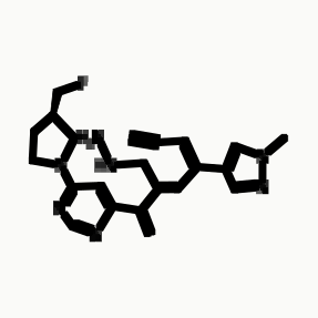 C#C/C=C(\C=C(/CNN)C(=C)c1cc(N2CC[C@@H](CF)C2)ncn1)c1cnn(C)c1